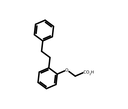 O=C(O)COc1ccccc1CCc1ccccc1